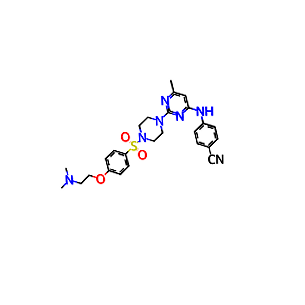 Cc1cc(Nc2ccc(C#N)cc2)nc(N2CCN(S(=O)(=O)c3ccc(OCCN(C)C)cc3)CC2)n1